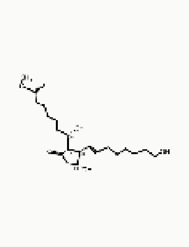 COC(=O)CCCCC[C@H](O)[C@H]1C(=O)C[C@@H](O)[C@@H]1C=CCCCCCCO